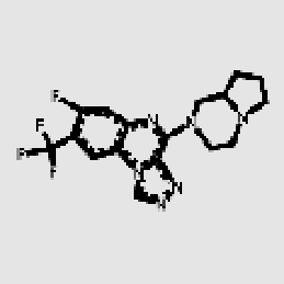 Fc1cc2nc(N3CCN4CCCC4C3)c3nncn3c2cc1C(F)(F)F